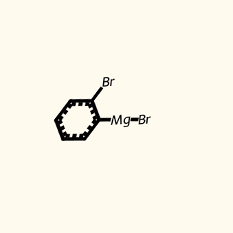 [Br][Mg][c]1ccccc1Br